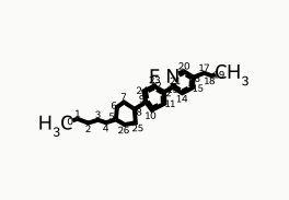 CCCCCC1CCC(c2ccc(-c3ccc(CCC)cn3)c(F)c2)CC1